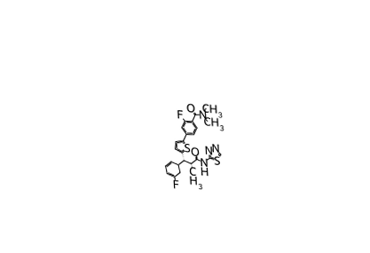 C[C@@H](C(=O)Nc1nncs1)[C@@H](c1ccc(-c2ccc(C(=O)N(C)C)c(F)c2)s1)C1C=CC=C(F)C1